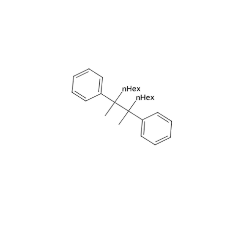 CCCCCCC(C)(c1ccccc1)C(C)(CCCCCC)c1ccccc1